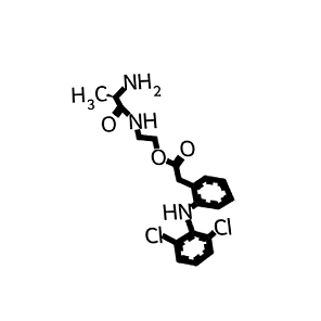 C[C@H](N)C(=O)NCCOC(=O)Cc1ccccc1Nc1c(Cl)cccc1Cl